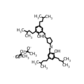 CC(=O)[O-].CC(=O)[O-].CC(C)CCc1cc(C=NC2CCC(N=Cc3cc(CCC(C)C)cc(CCC(C)C)c3O)C2)c(O)c(CCC(C)C)c1.[Co+2]